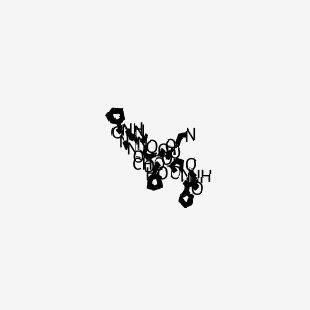 COC1C(OC(=O)c2ccccc2)[C@@H](COP(=O)(OCCC#N)OC2C[C@H](n3cc(-c4ccccc4)c(=O)[nH]c3=O)O[C@@H]2CO)O[C@H]1n1cnc2c(NC(=O)c3ccccc3)ncnc21